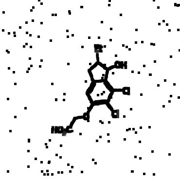 CCC1Cc2cc(OCC(=O)O)c(Cl)c(Cl)c2C1O